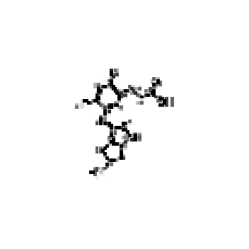 CC1CC2NSC(=Nc3cc(SCC(=O)O)c(Cl)cc3F)N2C1